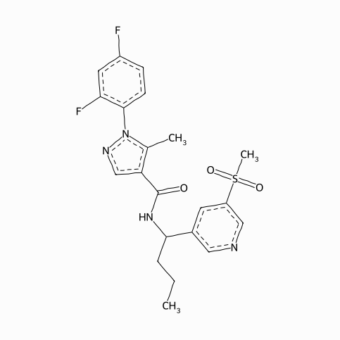 CCCC(NC(=O)c1cnn(-c2ccc(F)cc2F)c1C)c1cncc(S(C)(=O)=O)c1